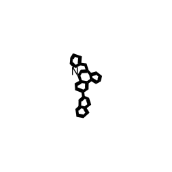 C1=C2Cc3ccccc3N=C1c1ccc(-c3ccc4ccccc4c3)cc1-c1ccccc12